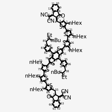 CCCCCCc1cc(/C=C2\C(=O)c3ccccc3C2=C(C#N)C#N)sc1-c1cc(CCCCCC)c(-c2cc(CCCCCC)c(-c3cc4c(-c5ccc(CC(CC)CCCC)s5)c5sc(-c6sc(-c7sc(-c8sc(CC9C(=O)c%10ccccc%10C9=C(C#N)C#N)cc8CCCCCC)cc7CCCCCC)cc6CCCCCC)cc5c(-c5ccc(CC(CC)CCCC)s5)c4s3)s2)s1